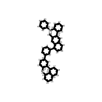 Cc1cc2c(-c3cccc(-c4ccc5c(c4)-c4cccc6cccc(c46)S5)c3)cccc2cc1-c1ccccc1Nc1ccccc1